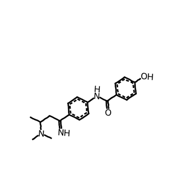 CC(CC(=N)c1ccc(NC(=O)c2ccc(O)cc2)cc1)N(C)C